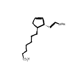 CCCCCCC=C[C@H]1C=CC[C@@H]1CCCCCCC(=O)O